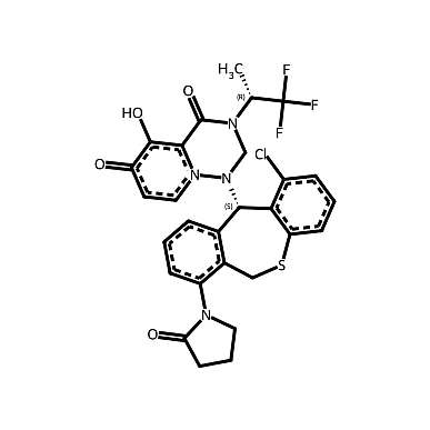 C[C@@H](N1CN([C@H]2c3cccc(N4CCCC4=O)c3CSc3cccc(Cl)c32)n2ccc(=O)c(O)c2C1=O)C(F)(F)F